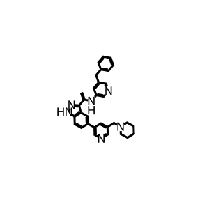 C=C(Nc1cncc(Cc2ccccc2)c1)c1n[nH]c2ccc(-c3cncc(CN4CCCCC4)c3)cc12